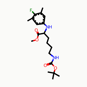 COC(=O)C(CCCCNC(=O)OC(C)(C)C)Nc1cc(C)c(F)c(C)c1